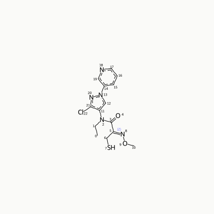 CCN(C(=O)/C(CS)=N/OC)c1cn(-c2cccnc2)nc1Cl